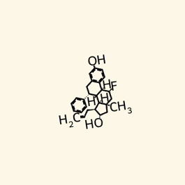 C=CC[C@H]1[C@H]2[C@H]3[C@@H](c4ccc(O)cc4C[C@H]3c3ccccc3)[C@@H](F)C[C@]2(C)C[C@@H]1O